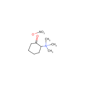 C[N+](C)(C)C1CCCCC1=O.O=[N+]([O-])[O-]